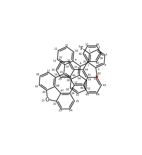 Fc1cccc(F)c1-c1c2ccccc2c(-c2cccc3oc4cccc(-c5c6ccccc6c(-c6ccccc6)c6ccccc56)c4c23)c2ccccc12